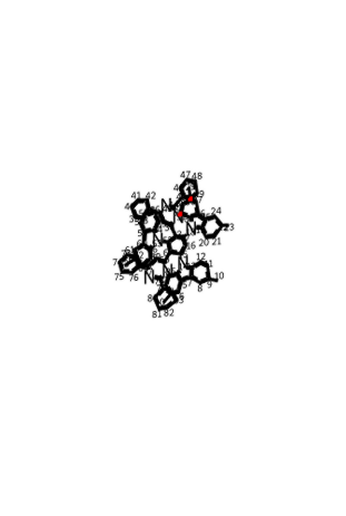 Cc1ccc2c(c1)c1cc(C)ccc1n2-c1cc(-n2c3ccc(C)cc3c3cc(C)ccc32)c(-c2cc(-c3ccccc3)nc(-c3ccccc3)n2)c(-n2c3ccccc3c3cc(C)ccc32)c1-c1cc(-c2ccccc2)nc(-c2ccccc2)n1